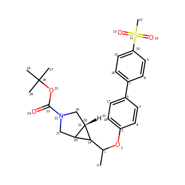 CC(Oc1ccc(-c2ccc(S(C)(=O)=O)cc2)cc1)C1C2CN(C(=O)OC(C)(C)C)C[C@@H]21